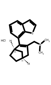 CN(C)CC1=C(c2cccc3ccsc23)[C@@H]2CC[C@H](C1)C2.Cl